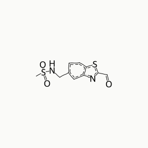 CS(=O)(=O)NCc1ccc2sc(C=O)nc2c1